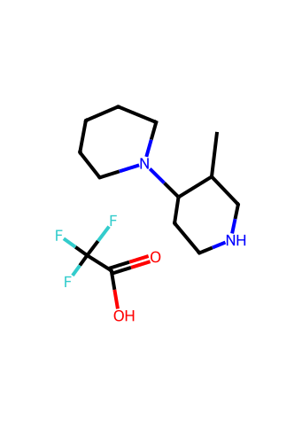 CC1CNCCC1N1CCCCC1.O=C(O)C(F)(F)F